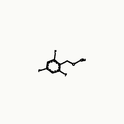 CC(C)(C)OCc1c(F)cc(F)cc1F